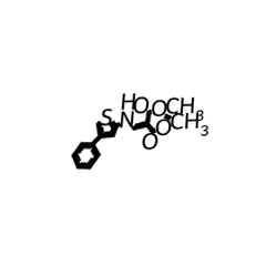 CC1(C)OC(=O)C(=CNc2cc(-c3ccccc3)cs2)C(=O)O1